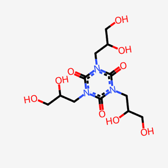 O=c1n(CC(O)CO)c(=O)n(CC(O)CO)c(=O)n1CC(O)CO